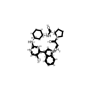 C=CC(=O)N1CCC[C@H]1C(=O)N[C@H]1CCC[C@@H](Nc2ncc(Cl)c(-c3c[nH]c4ccccc34)n2)C1